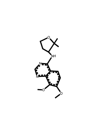 COc1ccc2c(NC3CCOC3(C)C)ncnc2c1OC